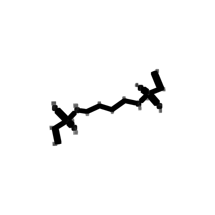 C=CS(=O)(=O)OCCCCOS(=O)(=O)C=C